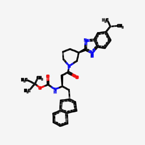 CC(C)c1ccc2[nH]c([C@@H]3CCCN(C(=O)C[C@@H](Cc4ccc5ccccc5c4)NC(=O)OC(C)(C)C)C3)nc2c1